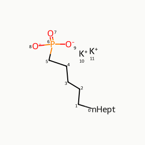 CCCCCCCCCCCCP(=O)([O-])[O-].[K+].[K+]